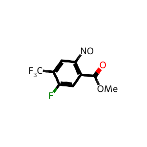 COC(=O)c1cc(F)c(C(F)(F)F)cc1N=O